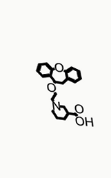 O=C(O)C1CCCN(CCOC2Cc3ccccc3Oc3ccccc32)C1